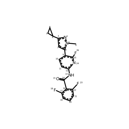 Cn1nc(C2CC2)cc1-c1ccc(NC(=O)c2c(F)cccc2F)nc1F